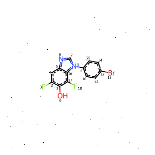 Oc1c(F)cc2ncn(-c3ccc(Br)cc3)c2c1F